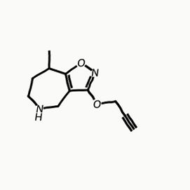 C#CCOc1noc2c1CNCCC2C